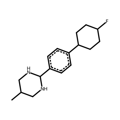 CC1CNC(c2ccc(C3CCC(F)CC3)cc2)NC1